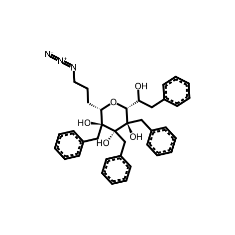 [N-]=[N+]=NCCC[C@@H]1O[C@H](C(O)Cc2ccccc2)[C@](O)(Cc2ccccc2)[C@@](O)(Cc2ccccc2)[C@]1(O)Cc1ccccc1